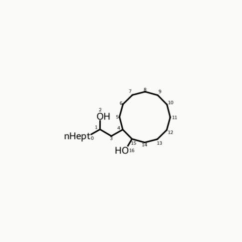 CCCCCCCC(O)CC1CCCCCCCCCCC1O